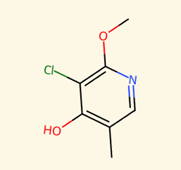 COc1ncc(C)c(O)c1Cl